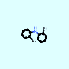 CCc1ccccc1Nc1ccccc1CC